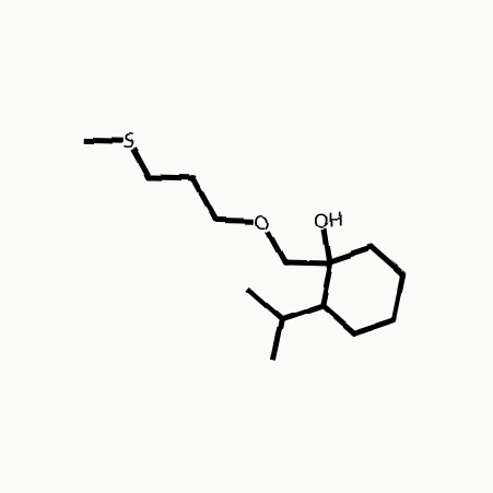 CSCCCOCC1(O)CCCCC1C(C)C